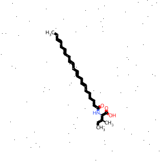 CCC=CCC=CCC=CCC=CCC=CCCCCCC(=O)N[C@H](C(=O)O)[C@@H](C)CC